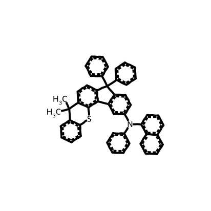 CC1(C)c2ccccc2Sc2c1ccc1c2-c2cc(N(c3ccccc3)c3cccc4ccccc34)ccc2C1(c1ccccc1)c1ccccc1